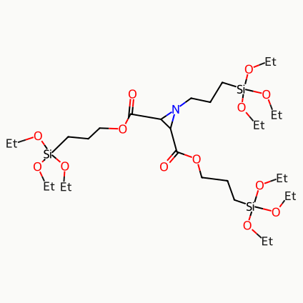 CCO[Si](CCCOC(=O)C1C(C(=O)OCCC[Si](OCC)(OCC)OCC)N1CCC[Si](OCC)(OCC)OCC)(OCC)OCC